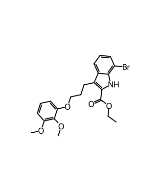 CCOC(=O)c1[nH]c2c(Br)cccc2c1CCCOc1cccc(OC)c1OC